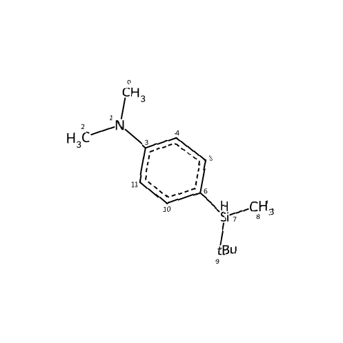 CN(C)c1ccc([SiH](C)C(C)(C)C)cc1